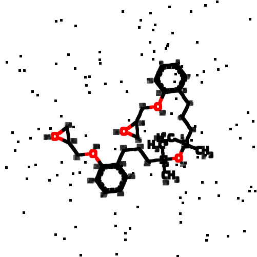 C[Si](C)(CCCc1ccccc1OCC1CO1)O[Si](C)(C)CCCc1ccccc1OCC1CO1